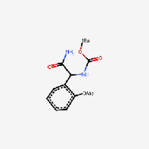 COc1ccccc1C(NC(=O)OC(C)(C)C)C(N)=O